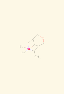 CCOC1C2COCC1C(C)N(CC)C2